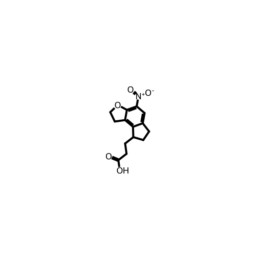 O=C(O)CCC1CCc2cc([N+](=O)[O-])c3c(c21)CCO3